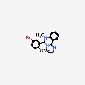 COc1ccc(Br)cc1C1N2CCCN=C2c2ccccc2N1C